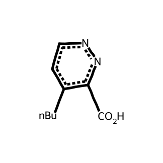 CCCCc1ccnnc1C(=O)O